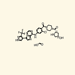 O=C(c1ccc(Nc2nccn3c(-c4c[nH]nc4C(F)(F)F)cnc23)cc1Cl)N1CCN(C(=O)[C@@H]2C[C@@H](O)CN2)CC1.O=CO